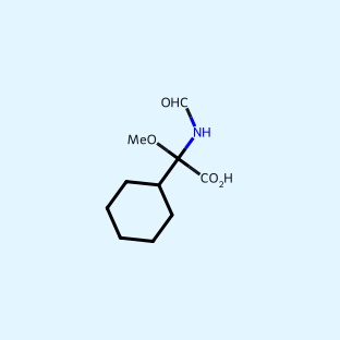 COC(NC=O)(C(=O)O)C1CCCCC1